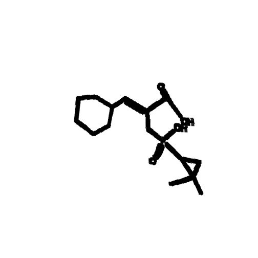 CC1(C)CC1P(=O)(O)CC(=CC1CCCCC1)C(=O)O